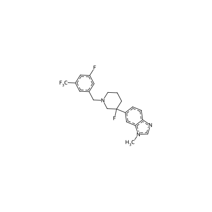 Cn1cnc2ccc(C3(F)CCCN(Cc4cc(F)cc(C(F)(F)F)c4)C3)cc21